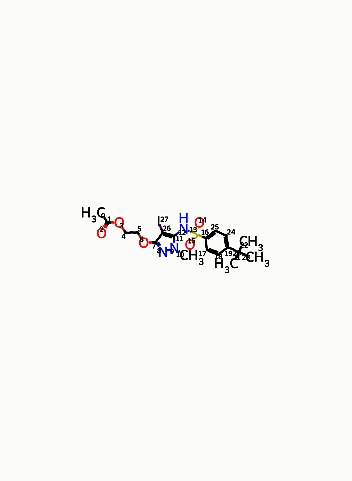 CC(=O)OCCOc1nn(C)c(NS(=O)(=O)c2ccc(C(C)(C)C)cc2)c1I